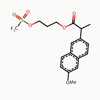 COc1ccc2cc(C(C)C(=O)OCCCOS(=O)(=O)C(F)(F)F)ccc2c1